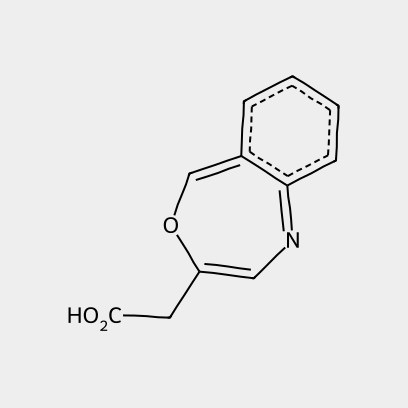 O=C(O)CC1=CN=c2ccccc2=CO1